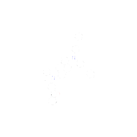 CC(C)c1cc(N(c2ccc(-c3ccccc3)cc2)c2ccc(-c3ccccc3)cc2)c2ccc3c(C(C)C)cc(N4c5ccccc5C(C)(C)c5cc6c(cc54)oc4ccccc46)c4ccc1c2c34